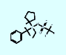 CC[Si](OS(=O)(=O)C(F)(F)F)(C1(C)CCCC1)C(C)(C)c1ccccc1